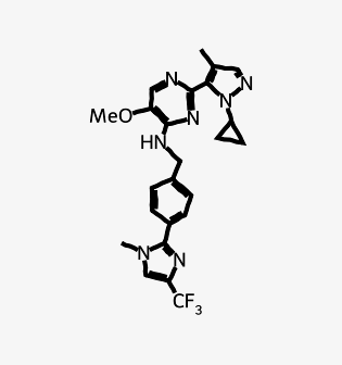 COc1cnc(-c2c(C)cnn2C2CC2)nc1NCc1ccc(-c2nc(C(F)(F)F)cn2C)cc1